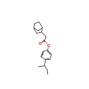 CCC(C)c1ccc(OC(=O)CC2CC3CCC2C3)cc1